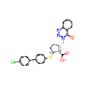 O=C(O)[C@@H]1[C@@H](Cn2nnc3ccccc3c2=O)CC[C@@H]1Sc1ccc(-c2ccc(Cl)cc2)cc1